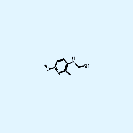 COc1ccc(NCS)c(C)n1